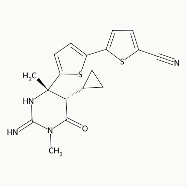 CN1C(=N)N[C@](C)(c2ccc(-c3ccc(C#N)s3)s2)[C@H](C2CC2)C1=O